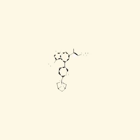 CN/C=C(\C)c1cc(-c2ccc(N3CC4CC(C3)N4)nc2)c2c(C#N)cnn2c1